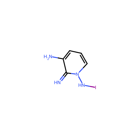 N=c1c(N)cccn1NI